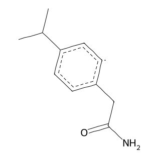 CC(C)c1c[c]c(CC(N)=O)cc1